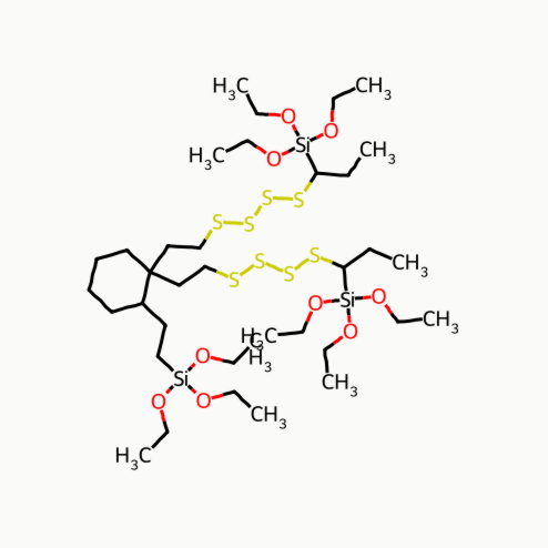 CCO[Si](CCC1CCCCC1(CCSSSSC(CC)[Si](OCC)(OCC)OCC)CCSSSSC(CC)[Si](OCC)(OCC)OCC)(OCC)OCC